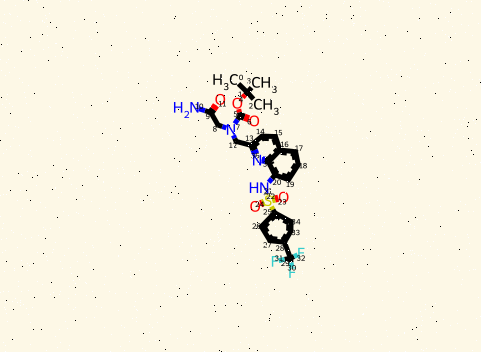 CC(C)(C)OC(=O)N(CC(N)=O)Cc1ccc2cccc(NS(=O)(=O)c3ccc(C(F)(F)F)cc3)c2n1